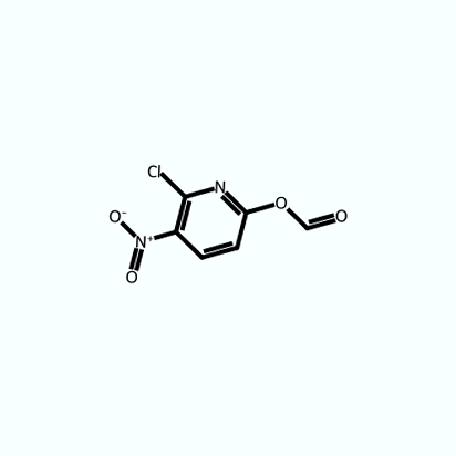 O=COc1ccc([N+](=O)[O-])c(Cl)n1